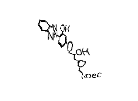 CCCCCCCCCCCCOCC(O)COc1ccc(-n2nc3ccccc3n2)c(O)c1